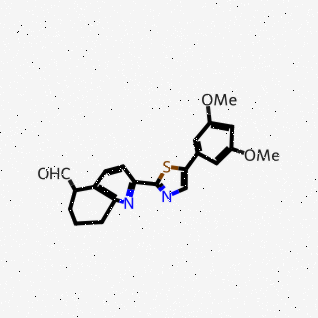 COc1cc(OC)cc(-c2cnc(-c3ccc4c(n3)CCCC4C=O)s2)c1